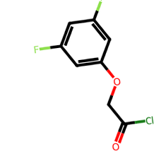 O=C(Cl)COc1cc(F)cc(F)c1